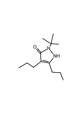 CCCc1[nH]n(C(C)(C)C)c(=O)c1CCC